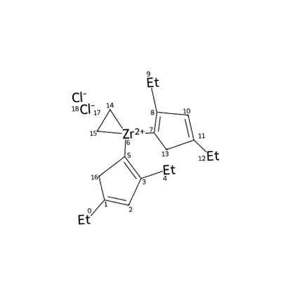 CCC1=CC(CC)=[C]([Zr+2]2([C]3=C(CC)C=C(CC)C3)[CH2][CH2]2)C1.[Cl-].[Cl-]